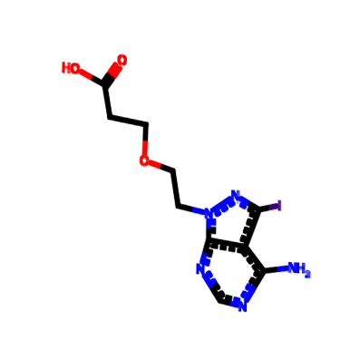 Nc1ncnc2c1c(I)nn2CCOCCC(=O)O